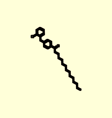 CCCCCCCCCCCCCCC(=O)c1ccc(Cc2ccccc2Cl)cc1